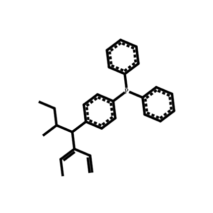 C=C/C(=C\C)C(c1ccc(P(c2ccccc2)c2ccccc2)cc1)C(C)CC